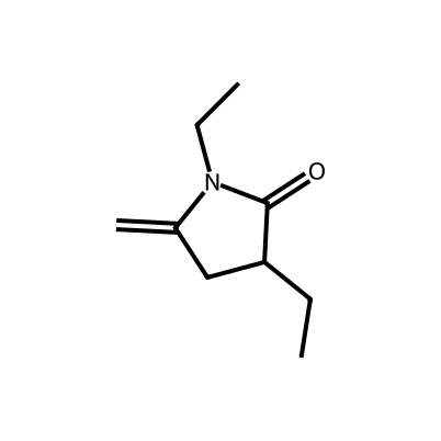 C=C1CC(CC)C(=O)N1CC